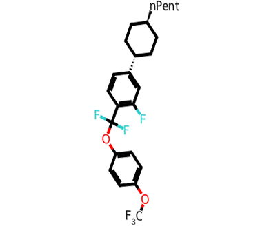 CCCCC[C@H]1CC[C@H](c2ccc(C(F)(F)Oc3ccc(OC(F)(F)F)cc3)c(F)c2)CC1